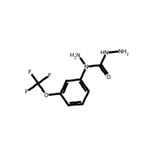 NNC(=O)N(N)c1cccc(OC(F)(F)F)c1